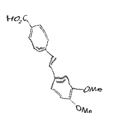 COc1ccc(C=Cc2ccc(C(=O)O)cc2)cc1OC